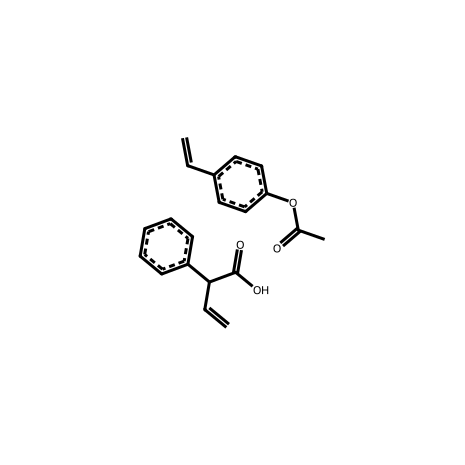 C=CC(C(=O)O)c1ccccc1.C=Cc1ccc(OC(C)=O)cc1